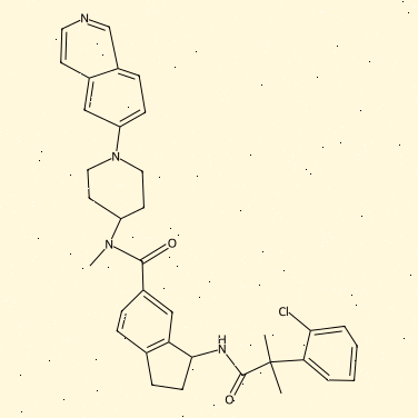 CN(C(=O)c1ccc2c(c1)C(NC(=O)C(C)(C)c1ccccc1Cl)CC2)C1CCN(c2ccc3cnccc3c2)CC1